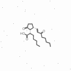 CCCCCC(=O)C=C[C@H]1CCC(=O)[C@H]1C(CCCCC)C(=O)O